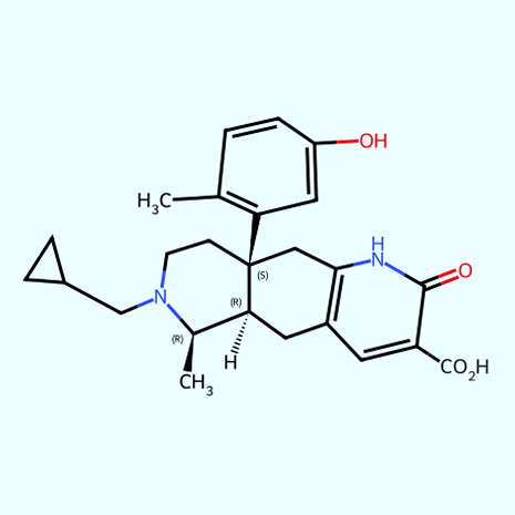 Cc1ccc(O)cc1[C@]12CCN(CC3CC3)[C@H](C)[C@@H]1Cc1cc(C(=O)O)c(=O)[nH]c1C2